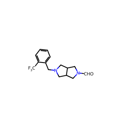 O=CN1CC2CN(Cc3ccccc3C(F)(F)F)CC2C1